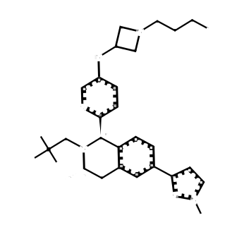 C[C@H]1Cc2cc(-c3ccn(C)n3)ccc2[C@H](c2ccc(NC3CN(CCCF)C3)cn2)N1CC(F)(F)F